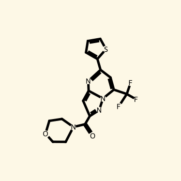 O=C(c1cc2nc(-c3cccs3)cc(C(F)(F)F)n2n1)N1CCOCC1